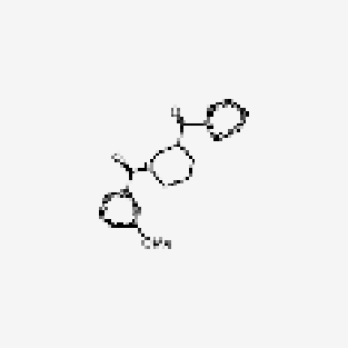 COc1cccc(C(=O)N2CCCC(C(=O)c3ccccc3)C2)c1